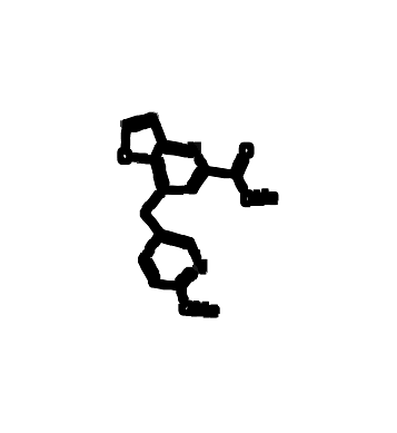 COC(=O)c1cc(Cc2ccc(OC)nc2)c2occc2n1